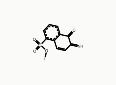 N=C1C=Cc2c(cccc2S(=O)(=O)OI)C1=O